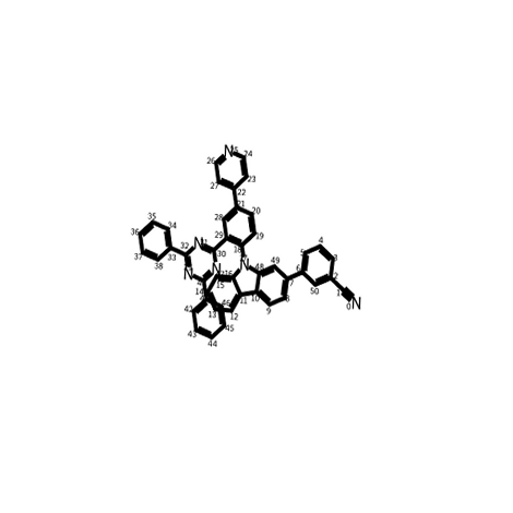 N#Cc1cccc(-c2ccc3c4ccccc4n(-c4ccc(-c5ccncc5)cc4-c4nc(-c5ccccc5)nc(-c5ccccc5)n4)c3c2)c1